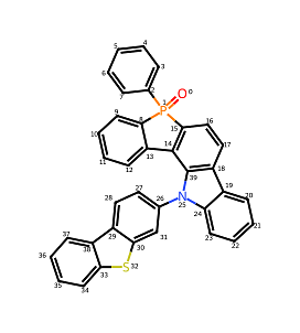 O=P1(c2ccccc2)c2ccccc2-c2c1ccc1c3ccccc3n(-c3ccc4c(c3)sc3ccccc34)c21